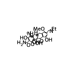 CCN(C)Cc1cc(O)c2c(c1OC)C[C@H]1C[C@H]3[C@H](N(C)C)C(O)=C(C(N)=O)C(=O)[C@@]3(O)C(O)=C1C2=O